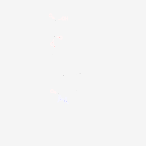 CC(C)C1=C2[C@H]3CC[C@@H]4C5(C)CC[C@H](OC(=O)CC(C)(C)C(=O)O)C(C)(C)[C@@H]5CC[C@@]4(C)[C@]3(C)CC[C@@]2(Cc2cc(=O)n(Cc3ccc(Cl)cc3)n2C)CC1